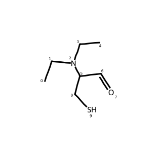 CCN(CC)C(C=O)CS